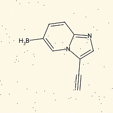 Bc1ccc2ncc(C#C)n2c1